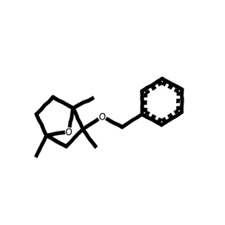 CC12CCC(C)(O1)C(C)(OCc1ccccc1)C2